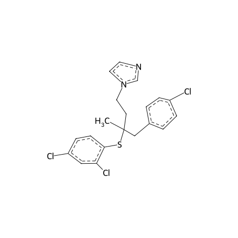 CC(CCn1ccnc1)(Cc1ccc(Cl)cc1)Sc1ccc(Cl)cc1Cl